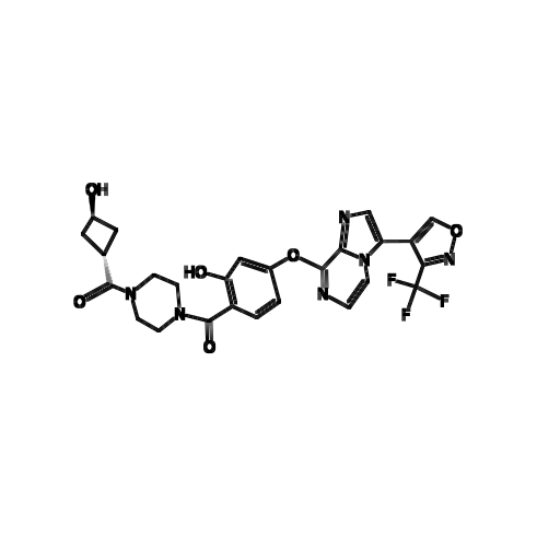 O=C(c1ccc(Oc2nccn3c(-c4conc4C(F)(F)F)cnc23)cc1O)N1CCN(C(=O)[C@H]2C[C@H](O)C2)CC1